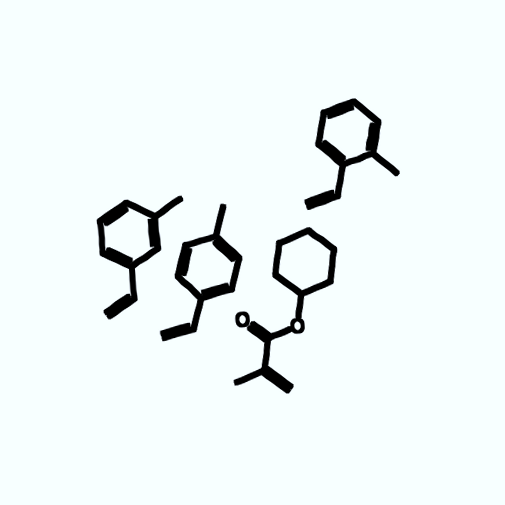 C=C(C)C(=O)OC1CCCCC1.C=Cc1ccc(C)cc1.C=Cc1cccc(C)c1.C=Cc1ccccc1C